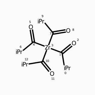 CC(C)[C](=O)[Zr]([C](=O)C(C)C)([C](=O)C(C)C)[C](=O)C(C)C